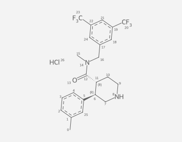 Cc1cccc([C@@H]2CNCC[C@H]2C(=O)N(C)Cc2cc(C(F)(F)F)cc(C(F)(F)F)c2)c1.Cl